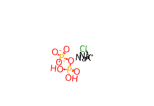 O=P([O-])([O-])OP(=O)(O)O.[Cl][K].[Na+].[Na+]